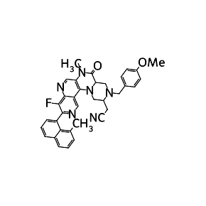 COc1ccc(CN2CC3C(=O)N(C)c4cnc5c(F)c(-c6cccc7cccc(C)c67)ncc5c4N3CC2CC#N)cc1